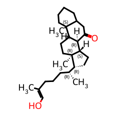 CC(=CO)CCC[C@@H](C)[C@H]1CC[C@H]2[C@@H]3C(=O)CC4CCCC[C@]4(C)[C@H]3CC[C@]12C